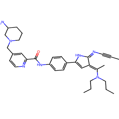 CC#C/N=C1/NC(c2ccc(NC(=O)c3cc(CN4CCCC(N)C4)ccn3)cc2)=C/C1=C(/C)N(CCC)CCC